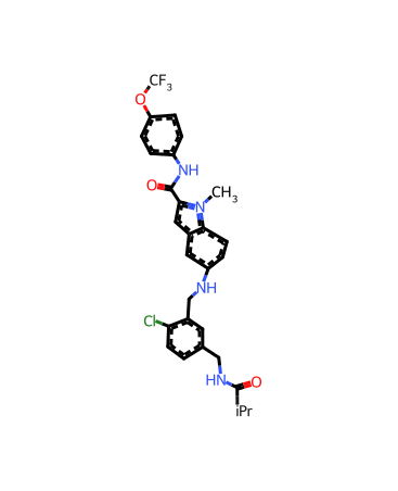 CC(C)C(=O)NCc1ccc(Cl)c(CNc2ccc3c(c2)cc(C(=O)Nc2ccc(OC(F)(F)F)cc2)n3C)c1